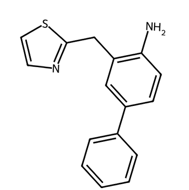 Nc1ccc(-c2ccccc2)cc1Cc1nccs1